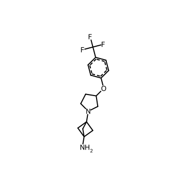 NC12CC(N3CCC(Oc4ccc(C(F)(F)F)cc4)C3)(C1)C2